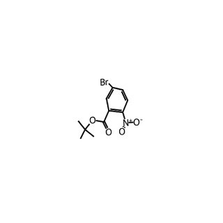 CC(C)(C)OC(=O)c1cc(Br)ccc1[N+](=O)[O-]